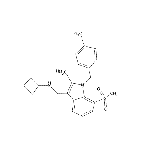 Cc1ccc(Cn2c(C(=O)O)c(CNC3CCC3)c3cccc(S(C)(=O)=O)c32)cc1